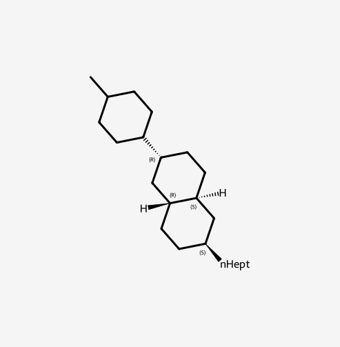 CCCCCCC[C@H]1CC[C@@H]2C[C@H](C3CCC(C)CC3)CC[C@H]2C1